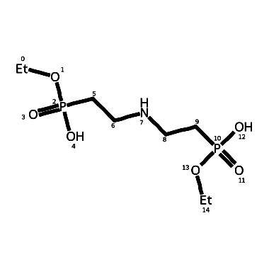 CCOP(=O)(O)CCNCCP(=O)(O)OCC